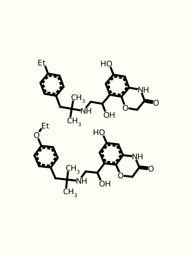 CCOc1ccc(CC(C)(C)NCC(O)c2cc(O)cc3c2OCC(=O)N3)cc1.CCc1ccc(CC(C)(C)NCC(O)c2cc(O)cc3c2OCC(=O)N3)cc1